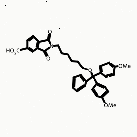 COc1ccc(C(OCCCCCCN2C(=O)c3ccc(C(=O)O)cc3C2=O)(c2ccccc2)c2ccc(OC)cc2)cc1